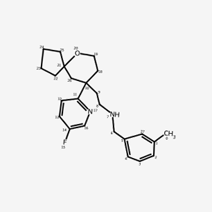 Cc1cccc(CNCCC2(c3ccc(F)cn3)CCOC3(CCCC3)C2)c1